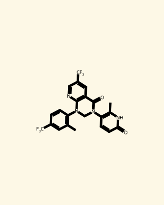 Cc1cc(C(F)(F)F)ccc1N1CN(c2ccc(=O)[nH]c2C)C(=O)c2cc(C(F)(F)F)cnc21